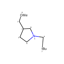 COCC1CCN(CC(C)(C)C)C1